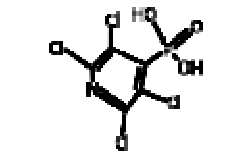 O=P(O)(O)c1c(Cl)c(Cl)nc(Cl)c1Cl